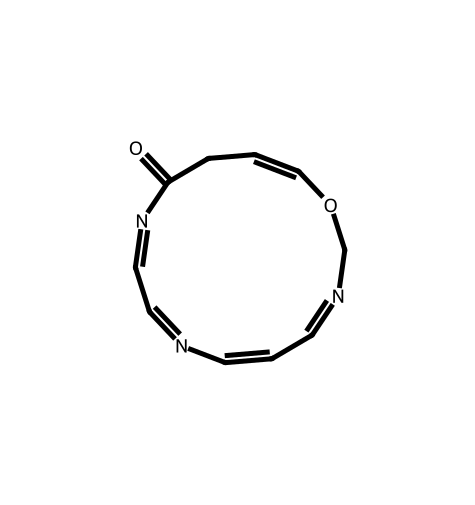 O=C1CC=COCN=CC=CN=CC=N1